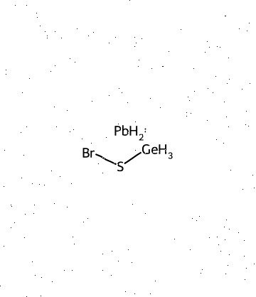 [GeH3][S]Br.[PbH2]